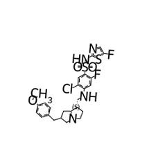 COc1ccc(CC2CC3[C@H](CNc4cc(F)c(S(=O)(=O)Nc5ncc(F)s5)cc4Cl)CCN3C2)cc1